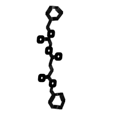 O=C(CCC(=O)OCc1ccccc1)OCC(=O)OCc1ccccc1